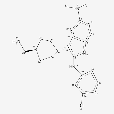 CN(C)c1ncc2nc(Nc3cccc(Cl)c3)n([C@H]3CC[C@H](CN)CC3)c2n1